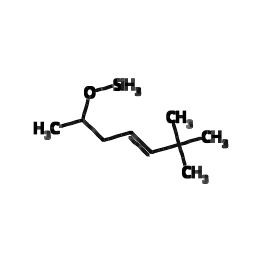 CC(CC=CC(C)(C)C)O[SiH3]